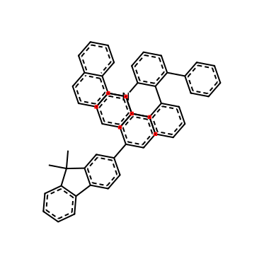 CC1(C)c2ccccc2-c2ccc(-c3cccc(N(c4cccc(-c5ccccc5)c4-c4ccccc4-c4ccccc4)c4cccc5ccccc45)c3)cc21